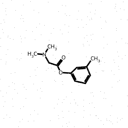 Cc1cccc(OC(=O)CN(C)C)c1